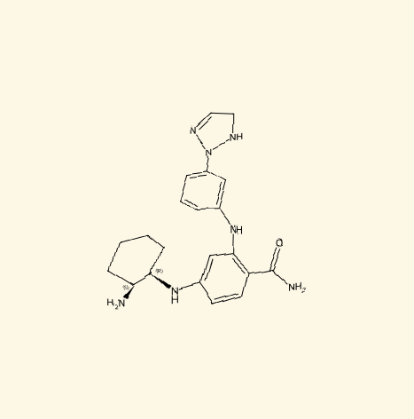 NC(=O)c1ccc(N[C@@H]2CCCC[C@@H]2N)cc1Nc1cccc(N2N=CCN2)c1